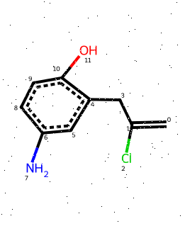 C=C(Cl)Cc1cc(N)ccc1O